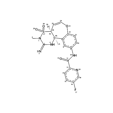 CN1C(=N)N[C@]2(C)c3cc(NC(=O)c4ccc(F)cn4)ccc3OC=C[C@@H]2S1(=O)=O